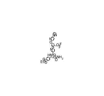 CCS(=O)(=O)c1ccc([C@H](COC(N)=O)NC(=O)c2ccc(N3CC(Oc4ccc(-n5cccn5)cn4)C[C@H]3COC(F)F)nc2)cc1